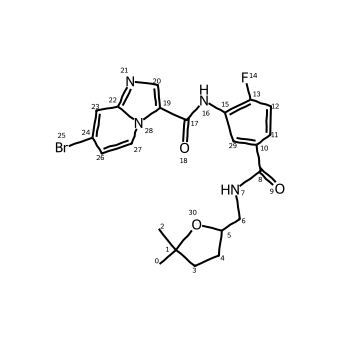 CC1(C)CCC(CNC(=O)c2ccc(F)c(NC(=O)c3cnc4cc(Br)ccn34)c2)O1